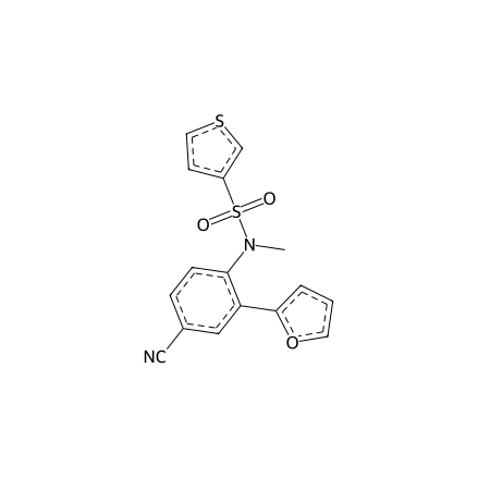 CN(c1ccc(C#N)cc1-c1ccco1)S(=O)(=O)c1ccsc1